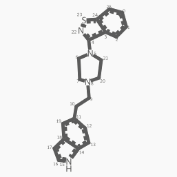 c1ccc2c(N3CCN(CCc4ccc5[nH]ccc5c4)CC3)nsc2c1